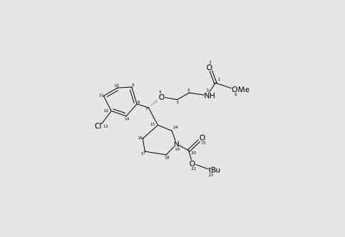 COC(=O)NCCO[C@@H](c1cccc(Cl)c1)C1CCCN(C(=O)OC(C)(C)C)C1